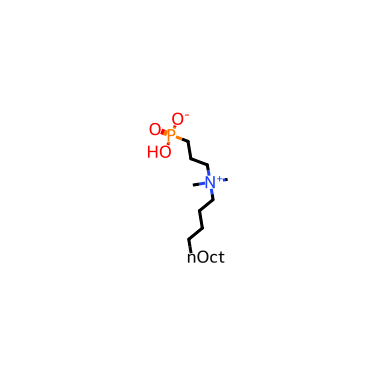 CCCCCCCCCCCC[N+](C)(C)CCCP(=O)([O-])O